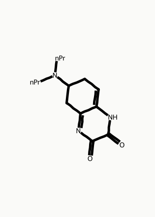 CCCN(CCC)C1CC=C2NC(=O)C(=O)N=C2C1